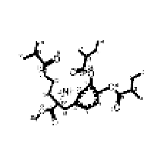 CCC(C)C(=O)Oc1ccc(C[C@](N)(CCOC(=O)C(C)C)C(=O)OC)cc1OC(=O)C(C)CC